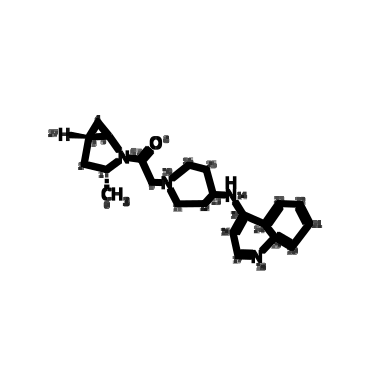 C[C@@H]1C[C@@H]2CC2N1C(=O)CN1CCC(Nc2ccnc3ccccc23)CC1